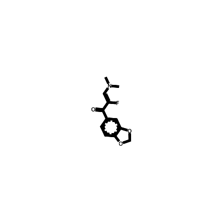 CN(C)C=C(F)C(=O)c1ccc2c(c1)OCO2